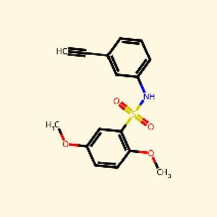 C#Cc1cccc(NS(=O)(=O)c2cc(OC)ccc2OC)c1